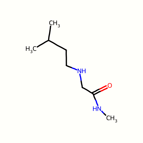 CNC(=O)CNCCC(C)C